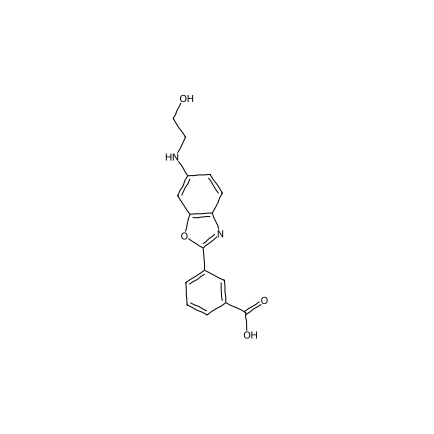 O=C(O)c1cccc(-c2nc3ccc(NCCO)cc3o2)c1